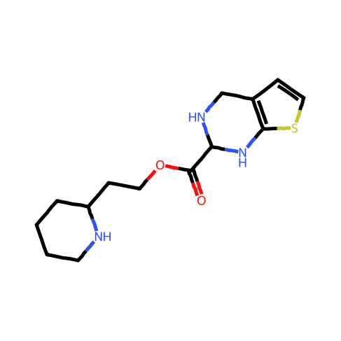 O=C(OCCC1CCCCN1)C1NCc2ccsc2N1